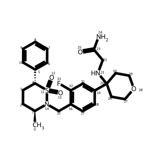 C[C@H]1CC[C@H](c2ccccc2)S(=O)(=O)N1Cc1ccc(C2(NCC(N)=O)CCOCC2)cc1F